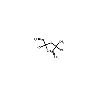 C=CC(C)(O)SC(C)(O)C=C